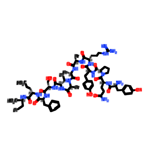 CC(C)C[C@H](NC(=O)[C@H](CCC(=O)O)NC(=O)[C@H](Cc1ccccc1)NC(=O)[C@H](CO)NC(=O)[C@H](CC(C)C)NC(=O)[C@@H](NC(=O)[C@@H](NC(=O)[C@@H](NC(=O)[C@H](CCCNC(=N)N)NC(=O)[C@H](Cc1ccc(O)cc1)NC(=O)[C@@H]1CCCN1C(=O)[C@H](CCC(N)=O)NC(=O)[C@@H](N)Cc1ccc(O)cc1)C(C)C)C(C)C)C(C)C)C(=O)O